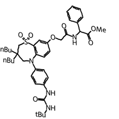 CCCCC1(CCCC)CN(c2ccc(NC(=O)NC(C)(C)C)cc2)c2ccc(OCC(=O)NC(C(=O)OC)c3ccccc3)cc2S(=O)(=O)C1